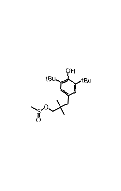 CS(=O)OCC(C)(C)Cc1cc(C(C)(C)C)c(O)c(C(C)(C)C)c1